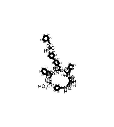 O=C(Nc1ccc(-c2ccc(C[C@@H]3NC(=O)[C@@H](Cc4cccs4)NC(=O)[C@H](O)[C@@H](O)C(=O)Nc4ccc(cc4)C[C@@H](C(=O)O)NC(=O)[C@@H](Cc4ccccc4)NC3=O)cc2)cc1)OCc1ccccc1